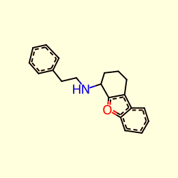 c1ccc(CCNC2CCCc3c2oc2ccccc32)cc1